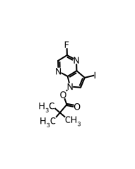 CC(C)(C)C(=O)On1cc(I)c2nc(F)cnc21